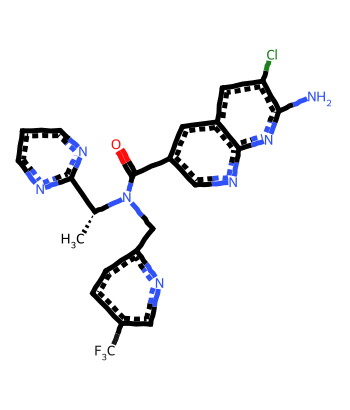 C[C@H](c1ncccn1)N(Cc1ccc(C(F)(F)F)cn1)C(=O)c1cnc2nc(N)c(Cl)cc2c1